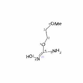 COCCO/C(N)=N\O